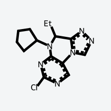 CCC1c2nncn2-c2cnc(Cl)nc2N1C1CCCC1